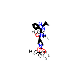 CC(C)(C)OC(=O)N1CC2C(C1)C2C(=O)NC(C)(C)c1nc(C2CC2)nc2ccccc12